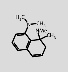 CNC1(C)CC=Cc2cccc(N(C)C)c21